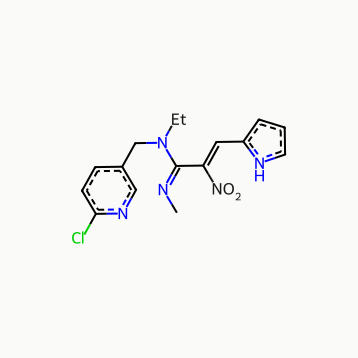 CCN(Cc1ccc(Cl)nc1)C(=NC)C(=Cc1ccc[nH]1)[N+](=O)[O-]